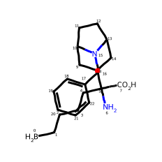 BCCCCC(N)(C(=O)O)C1CC2CCC(C1)N2Cc1ccccc1